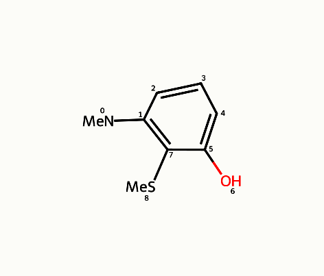 CNc1cccc(O)c1SC